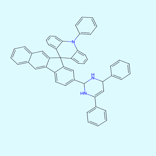 C1=C(c2ccccc2)NC(c2ccc3c(c2)C2(c4cc5ccccc5cc4-3)c3ccccc3N(c3ccccc3)c3ccccc32)NC1c1ccccc1